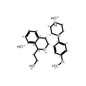 COc1ccc(N2CCNCC2)cc1.Cl.Cl.OCCC1OCCc2ccccc21